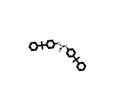 CC(C)(c1ccccc1)c1ccc(OS(=O)Oc2ccc(C(C)(C)c3ccccc3)cc2)cc1